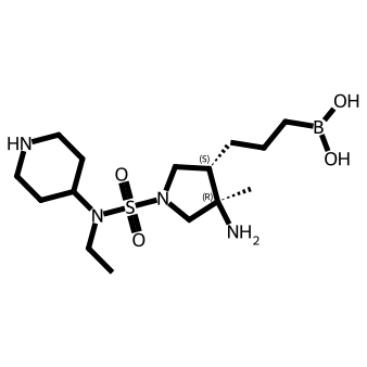 CCN(C1CCNCC1)S(=O)(=O)N1C[C@H](CCCB(O)O)[C@@](C)(N)C1